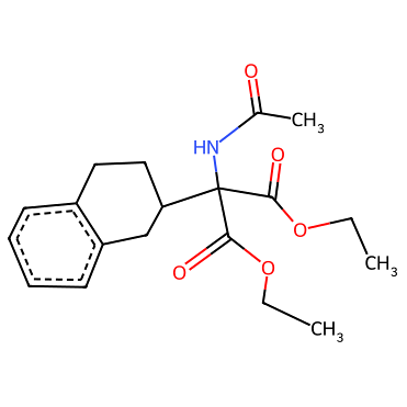 CCOC(=O)C(NC(C)=O)(C(=O)OCC)C1CCc2ccccc2C1